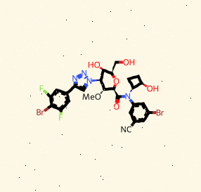 CO[C@@H]1[C@@H](n2cc(-c3cc(F)c(Br)c(F)c3)nn2)[C@@H](O)[C@@H](CO)O[C@H]1C(=O)N(c1cc(Br)cc(C#N)c1)[C@@H]1CC[C@H]1O